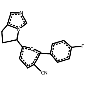 N#Cc1ccc(C2CCc3cncn32)cc1-c1ccc(F)cc1